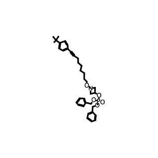 CC(C)(C)c1ccc(C#CCCCCCCCON2CC(OP(=O)(OCc3ccccc3)OCc3ccccc3)C2)cc1